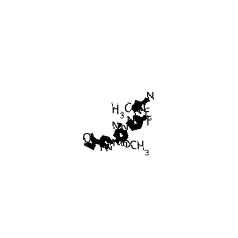 COc1cc2c(cc1Nc1ccc(C3CCOC3)nn1)ncn2-c1ccc(C(F)F)c(-n2nc(C#N)cc2C)n1